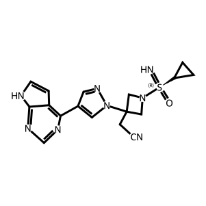 N#CCC1(n2cc(-c3ncnc4[nH]ccc34)cn2)CN([S@](=N)(=O)C2CC2)C1